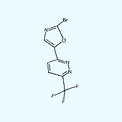 FC(F)(F)c1ccc(-c2cnc(Br)o2)nn1